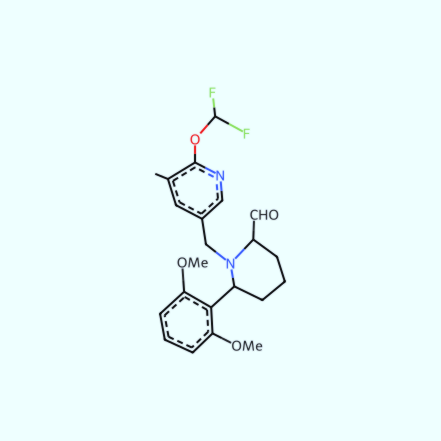 COc1cccc(OC)c1C1CCCC(C=O)N1Cc1cnc(OC(F)F)c(C)c1